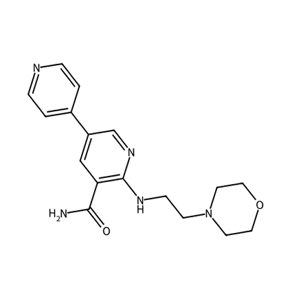 NC(=O)c1cc(-c2ccncc2)cnc1NCCN1CCOCC1